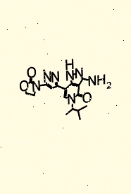 CC(C)C(C)n1cc(-c2cc(N3CCOC3=O)n(C)n2)c2[nH]nc(N)c2c1=O